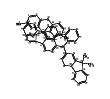 CC(C)(C)c1ccc2c(c1)C1(c3cc(C(C)(C)C)ccc3S2)c2ccccc2-c2ccc(N(C3=CCC4C(=C3)C(C)(C)c3ccccc34)c3ccccc3-c3ccc(-c4ccccc4)cc3)cc21